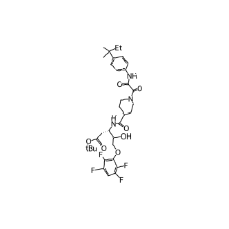 CCC(C)(C)c1ccc(NC(=O)C(=O)N2CCC(C(=O)N[C@@H](CC(=O)OC(C)(C)C)C(O)COc3c(F)c(F)cc(F)c3F)CC2)cc1